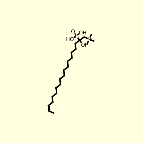 C/C=C\CCCCCCCCCCCCCCC(O)(C[N+](C)(C)C)P(=O)(O)O